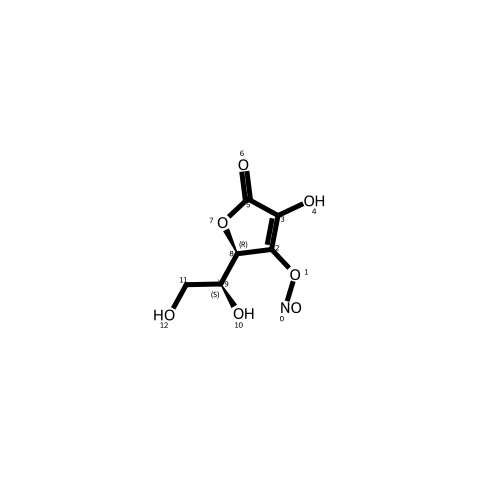 O=NOC1=C(O)C(=O)O[C@@H]1[C@@H](O)CO